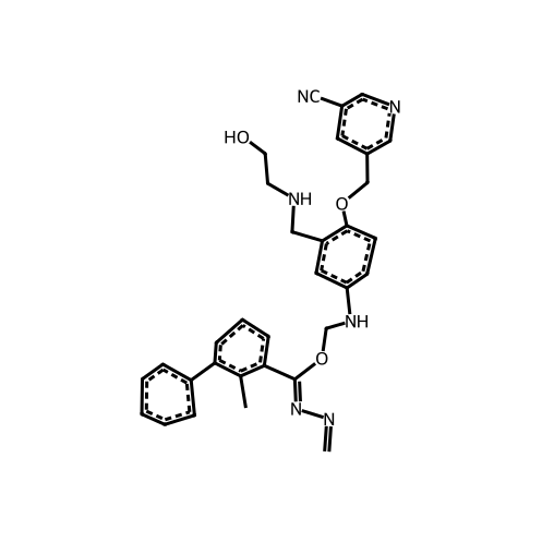 C=N/N=C(\OCNc1ccc(OCc2cncc(C#N)c2)c(CNCCO)c1)c1cccc(-c2ccccc2)c1C